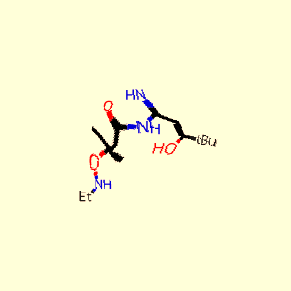 CCNOC(C)(C)C(=O)NC(=N)/C=C(\O)C(C)(C)C